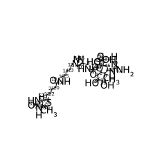 C[C@H]1[C@H]([C@H](OC(=O)NCc2cn(CCCCCNC(=O)CCCCC3SC[C@]4(C)NC(=O)N[C@H]34)nn2)[C@H](O)CO)OC(P(=O)(O)O)=C[C@@H]1NC(=N)N